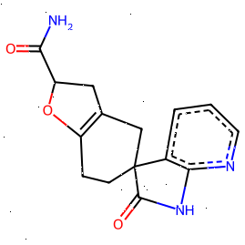 NC(=O)C1CC2=C(CCC3(C2)C(=O)Nc2ncccc23)O1